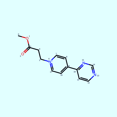 COC(=O)CC[n+]1ccc(-c2ccncn2)cc1